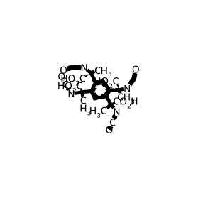 C[C@@](N=C=O)(C(=O)O)c1cc([C@](C)(N=C=O)C(=O)O)c([C@](C)(N=C=O)C(=O)O)cc1[C@](C)(N=C=O)C(=O)O